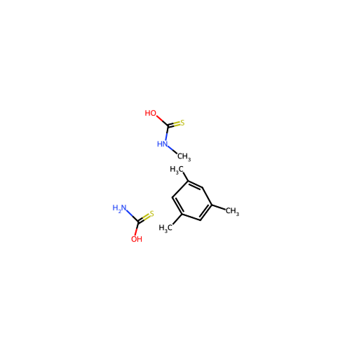 CNC(O)=S.Cc1cc(C)cc(C)c1.NC(O)=S